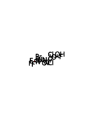 OC(CF)COc1cc(Cl)c(-c2noc(-c3cn4cc(C(F)(F)F)cc(Br)c4n3)n2)cc1Cl